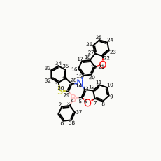 c1ccc(B2c3oc4ccccc4c3N(c3ccc4c(c3)oc3ccccc34)c3c2sc2ccccc32)cc1